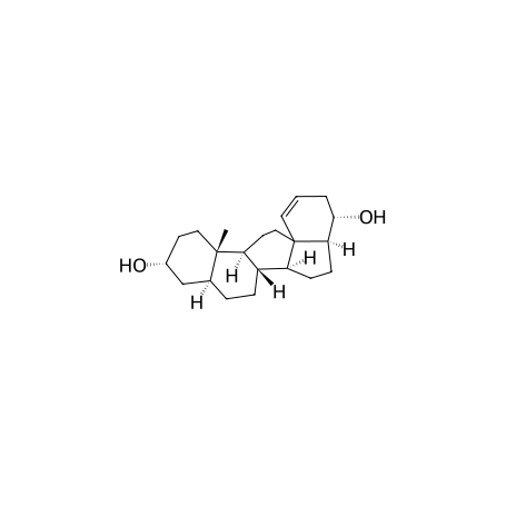 C[C@]12CC[C@@H](O)C[C@@H]1CC[C@H]1[C@@H]3CC[C@@H]4[C@@H](O)CC=CC43CC[C@@H]12